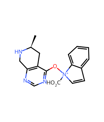 C[C@H]1Cc2c(ncnc2O[N+]2(C(=O)O)C=Cc3ccccc32)CN1